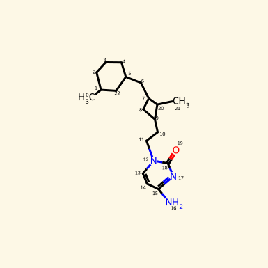 CC1CCCC(CC2CC(CCn3ccc(N)nc3=O)C2C)C1